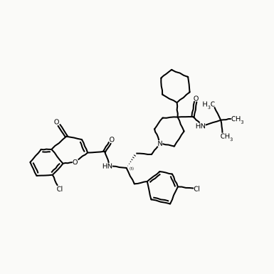 CC(C)(C)NC(=O)C1(C2CCCCC2)CCN(CC[C@H](Cc2ccc(Cl)cc2)NC(=O)c2cc(=O)c3cccc(Cl)c3o2)CC1